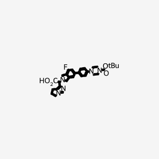 CC(C)(C)OC(=O)N1CCN(c2ccc(-c3cc(F)c4c(c3)CN(C(C(=O)O)c3ncn5c3CCC5)C4)cc2)CC1